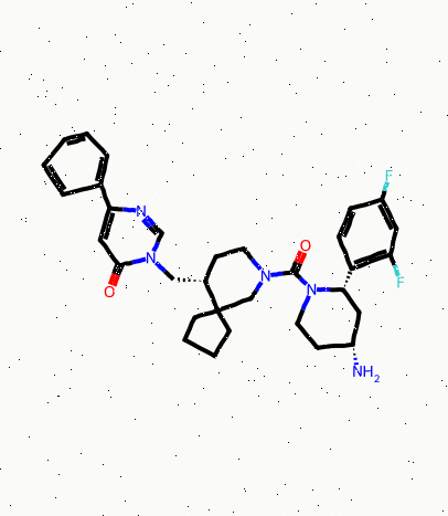 N[C@@H]1CCN(C(=O)N2CC[C@@H](Cn3cnc(-c4ccccc4)cc3=O)C3(CCCC3)C2)[C@H](c2ccc(F)cc2F)C1